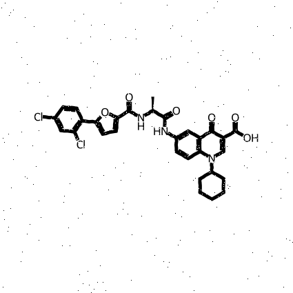 C[C@H](NC(=O)c1ccc(-c2ccc(Cl)cc2Cl)o1)C(=O)Nc1ccc2c(c1)c(=O)c(C(=O)O)cn2C1CCCCC1